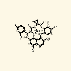 Cc1nc(F)ccc1[C@H](Nc1cc(Cl)c2ncc(C#N)c(Nc3cnc(F)c(F)c3)c2c1)C1=C(F)N(C2(C(F)F)CC2)NN1